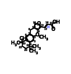 COc1cc2c(cc1Cc1coc(/C=C/C(=O)O)c1)C(C)(C)CCC2(C)C